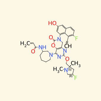 C#Cc1c(F)ccc2cc(O)cc(N3Cc4nc(OC[C@]5(C)C[C@@H](F)CN5C)nc(N5CCCCC(NC(=O)C=C)C5)c4OC3=O)c12